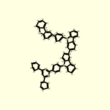 c1ccc(-c2cc(-c3ccccc3)nc(-c3ccc(-n4c5ccccc5c5cc(-c6ccc7c8ccccc8n(-c8ccc(-c9ccc%10oc%11ccccc%11c%10c9)cc8)c7c6)ccc54)cc3)n2)cc1